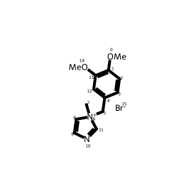 COc1ccc(C[N+]2(C)C=CN=C2)cc1OC.[Br-]